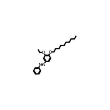 CCCCCCCCCCOc1ccc(/N=N/c2ccccc2)cc1OCC